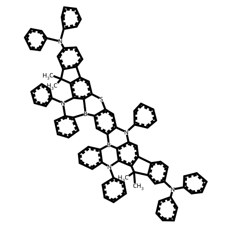 CC1(C)c2cc(N(c3ccccc3)c3ccccc3)ccc2-c2cc3c4c(c21)N(c1ccccc1)c1ccccc1B4c1cc2c(cc1S3)N(c1ccccc1)c1cc3c(c4c1B2c1ccccc1N4c1ccccc1)C(C)(C)c1cc(N(c2ccccc2)c2ccccc2)ccc1-3